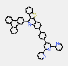 c1ccc(-c2cc(-c3ccc(-c4ccc5c(c4)nc(-c4ccc6c7ccccc7c7ccccc7c6c4)c4c6ccccc6sc54)cc3)cc(-c3ccccn3)n2)nc1